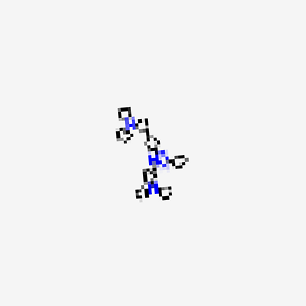 c1ccc(-c2nc(-c3ccc(-c4cccc(N(c5ccccc5)c5ccccc5)c4)cc3)nc(-c3ccc4c5ccccc5n(-c5ccccc5)c4c3)n2)cc1